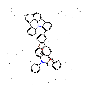 C=C(/C=C\c1c(C)sc2ccc(-c3cccc4c5ccc6cccc7c8ccccc8n(c34)c5c67)cc12)c1ccccc1N(c1ccccc1)c1cc2ccccc2s1